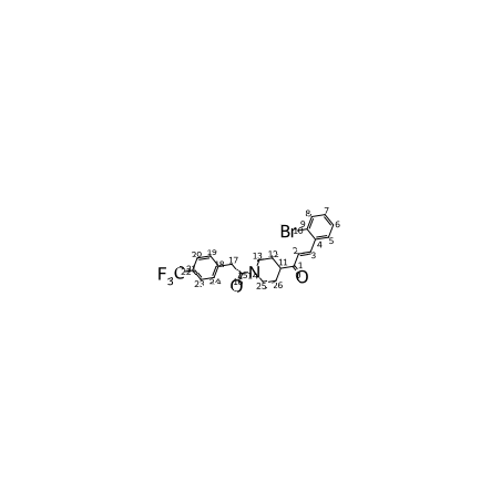 O=C(C=Cc1ccccc1Br)C1CCN(C(=O)Cc2ccc(C(F)(F)F)cc2)CC1